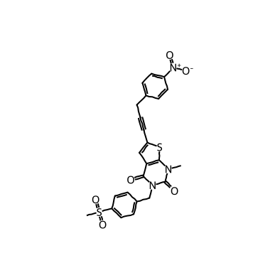 Cn1c(=O)n(Cc2ccc(S(C)(=O)=O)cc2)c(=O)c2cc(C#CCc3ccc([N+](=O)[O-])cc3)sc21